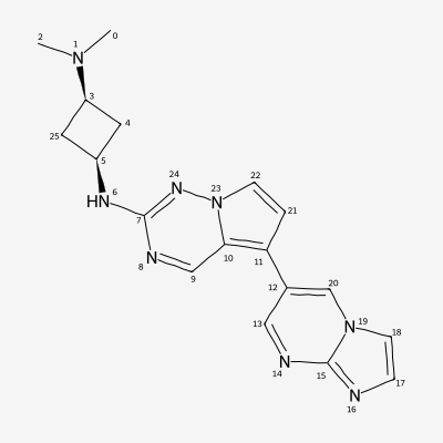 CN(C)[C@H]1C[C@@H](Nc2ncc3c(-c4cnc5nccn5c4)ccn3n2)C1